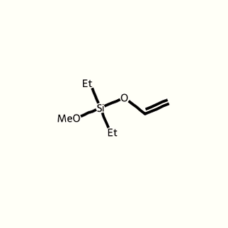 C=CO[Si](CC)(CC)OC